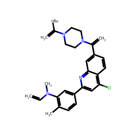 C=CN(C)c1cc(-c2cc(Cl)c3ccc(C(=C)N4CCN(C(=C)CCCC)CC4)cc3n2)ccc1C